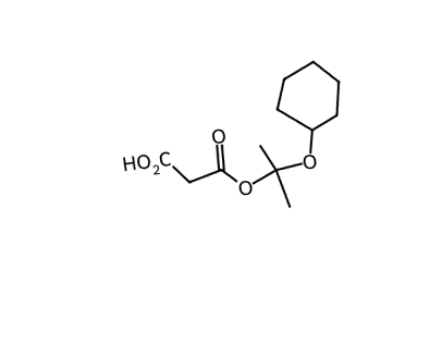 CC(C)(OC(=O)CC(=O)O)OC1CCCCC1